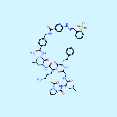 CC(=O)N1CCC[C@H]1C(=O)N[C@@H](CC(C)C)C(=O)NCC(=O)N[C@@H](CCc1ccccc1)C(=O)N[C@@H](CCCN)C(=O)N[C@@H](CC(C)C)C(=O)NNC(=O)c1ccc(CNC(=O)c2ccc(NN=Cc3ccccc3S(=O)(=O)O)nc2)cc1.N